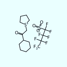 O=C(C[S+]1CCCC1)C1CCCCC1.O=S(=O)([O-])C(F)(F)C(F)(F)C(F)(F)C(F)(F)F